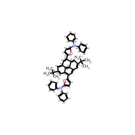 CC(C)(C)c1cc2cc(-c3ccc(N(c4ccccc4)c4ccccc4)o3)c3cc(C(C)(C)C)cc4cc(-c5ccc(N(c6ccccc6)c6ccccc6)o5)c(c1)c2c43